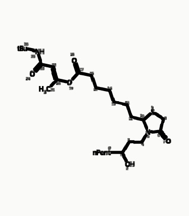 CCCCCC(O)CCN1C(=O)CSC1CCCCCCC(=O)OC(C)=CC(=O)NC(C)(C)C